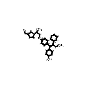 CC/C(=C(\c1ccc(O)cc1)c1ccc(OCC(C)N2CCC(CF)C2)cc1)c1ccccc1